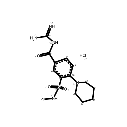 CC(C)NS(=O)(=O)c1cc(C(=O)NC(=N)N)ccc1N1CCCCC1.Cl